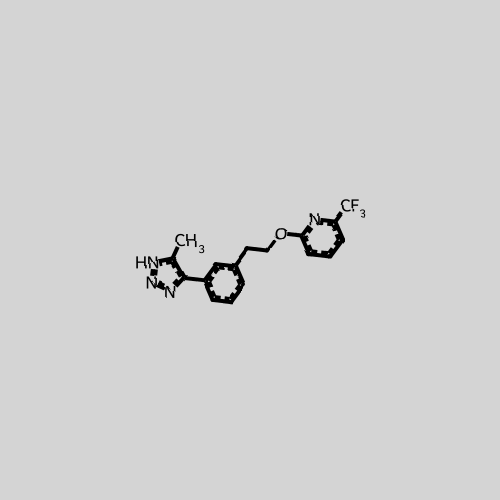 Cc1[nH]nnc1-c1cccc(CCOc2cccc(C(F)(F)F)n2)c1